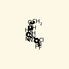 C=CC(=O)N1C[C@@H]2C[C@H]1CN2c1ccc2ncnc(Nc3ccc(OC(F)F)c(Cl)c3)c2n1